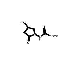 CCCCCC(=O)NN1CC(CCC)CC1=O